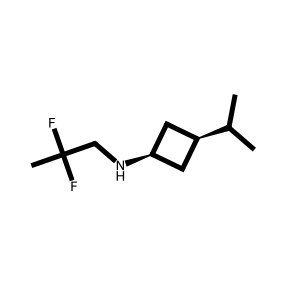 CC(C)[C@H]1C[C@@H](NCC(C)(F)F)C1